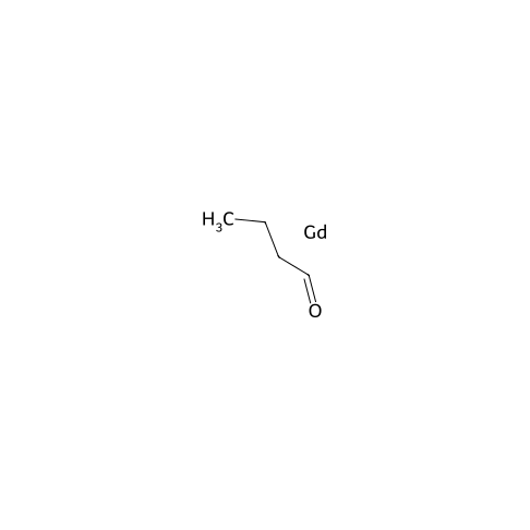 CCCC=O.[Gd]